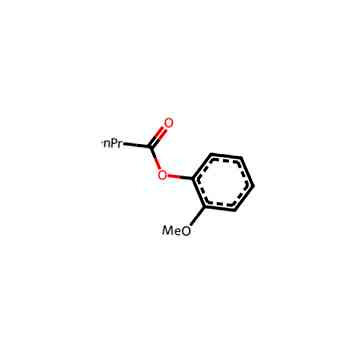 CC[CH]C(=O)Oc1ccccc1OC